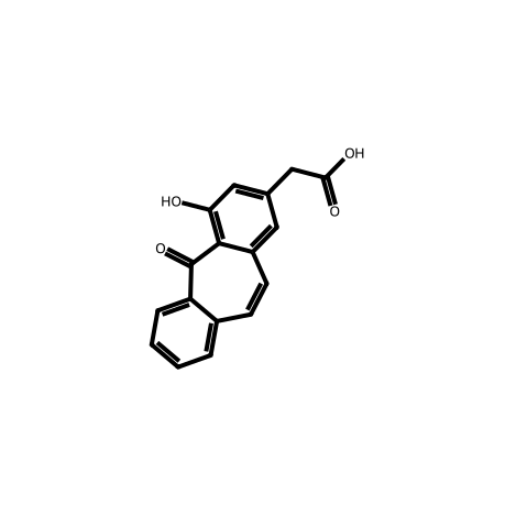 O=C(O)Cc1cc(O)c2c(=O)c3ccccc3ccc2c1